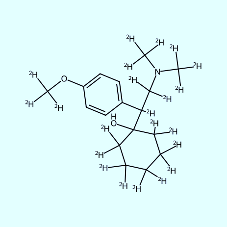 [2H]C([2H])([2H])Oc1ccc(C([2H])(C([2H])([2H])N(C([2H])([2H])[2H])C([2H])([2H])[2H])C2(O)C([2H])([2H])C([2H])([2H])C([2H])([2H])C([2H])([2H])C2([2H])[2H])cc1